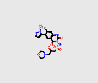 CC(C)c1cc2[nH]c(=O)n(NS(=O)(=O)CC(=O)CN3CCOCC3)c(=O)c2cc1-c1ccnn1C